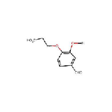 CCOc1cc(C=O)ccc1OCCC(=O)O